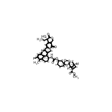 CC[C@@]1(O)C(=O)OCc2c1cc1n(c2=O)Cc2c-1nc1cc(F)c(C)c3c1c2[C@@H](NC(=O)OC1CCCC2(C1)OO[C@]1(C[C@H]4C[C@@H]1[C@H](C(=O)OC)C4)O2)CC3